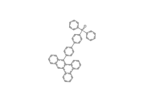 O=P(c1ccccc1)(c1ccccc1)c1ccc(-c2ccc(-c3c4ccccc4cc4c5ccccc5c5ccccc5c34)cc2)cc1